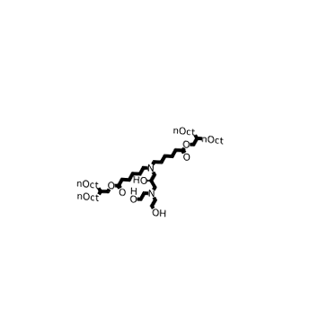 CCCCCCCCC(CCCCCCCC)COC(=O)CCCCCN(CCCCCC(=O)OCC(CCCCCCCC)CCCCCCCC)C[C@H](O)CN(CCO)CCO